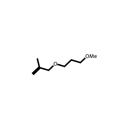 C=C(C)COCCCOC